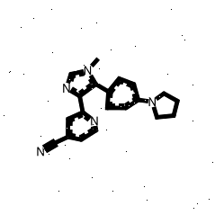 Cn1cnc(-c2cc(C#N)ccn2)c1-c1ccc(N2CCCC2)cc1